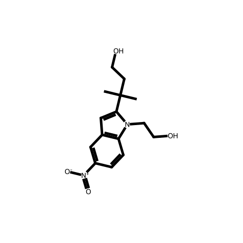 CC(C)(CCO)c1cc2cc([N+](=O)[O-])ccc2n1CCO